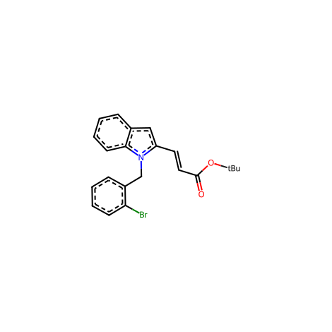 CC(C)(C)OC(=O)C=Cc1cc2ccccc2n1Cc1ccccc1Br